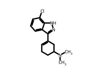 CN(C)C1CCC=C(c2n[nH]c3c(Cl)cccc23)C1